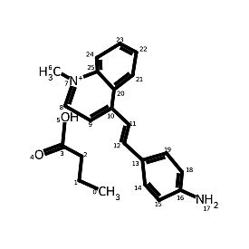 CCCC(=O)O.C[n+]1ccc(C=Cc2ccc(N)cc2)c2ccccc21